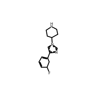 FC1C=CC=C(c2cn(C3CCNCC3)cn2)C1